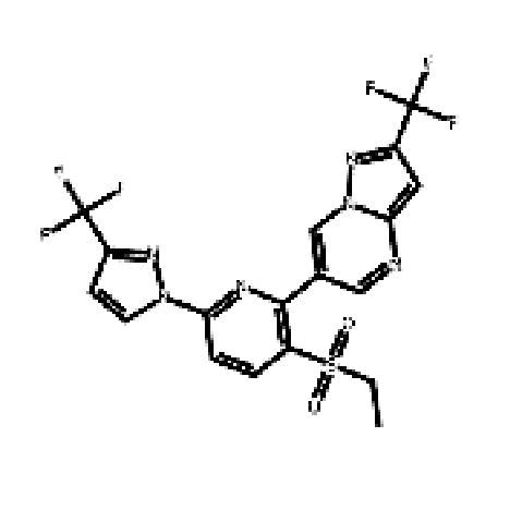 CCS(=O)(=O)c1ccc(-n2ccc(C(F)(F)F)n2)nc1-c1cnc2cc(C(F)(F)F)nn2c1